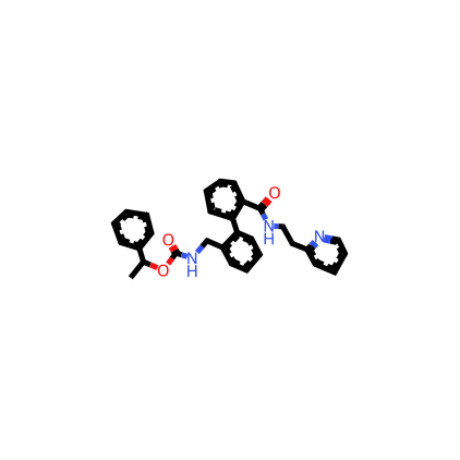 CC(OC(=O)NCc1ccccc1-c1ccccc1C(=O)NCCc1ccccn1)c1ccccc1